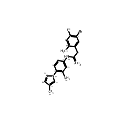 C=C(Cc1cc(Br)c(F)cc1C)Nc1ccc(-n2cc(C(F)(F)F)cn2)c(N)c1